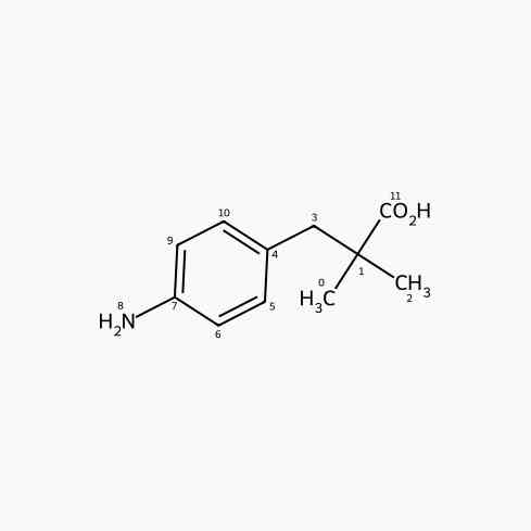 CC(C)(Cc1ccc(N)cc1)C(=O)O